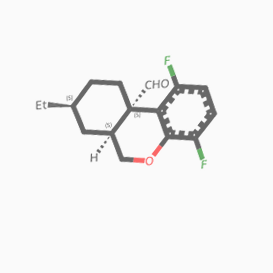 CC[C@H]1CC[C@@]2(C=O)c3c(F)ccc(F)c3OC[C@H]2C1